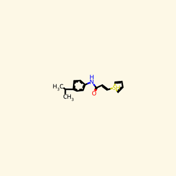 CC(C)c1ccc(NC(=O)C=C[SH]2C=CC=C2)cc1